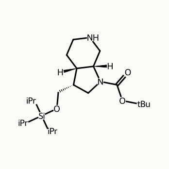 CC(C)[Si](OC[C@H]1CN(C(=O)OC(C)(C)C)[C@H]2CNCC[C@@H]12)(C(C)C)C(C)C